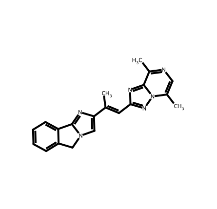 C/C(=C\c1nc2c(C)ncc(C)n2n1)c1cn2c(n1)-c1ccccc1C2